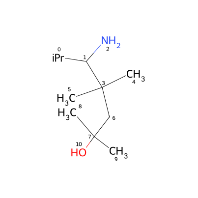 CC(C)C(N)C(C)(C)CC(C)(C)O